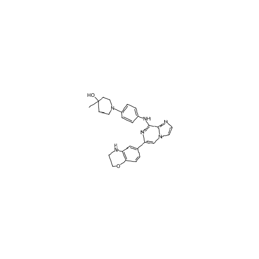 CC1(O)CCN(c2ccc(Nc3nc(-c4ccc5c(c4)NCCO5)cn4ccnc34)cc2)CC1